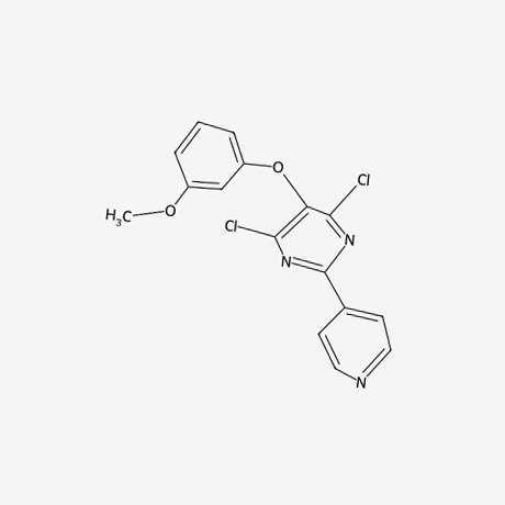 COc1cccc(Oc2c(Cl)nc(-c3ccncc3)nc2Cl)c1